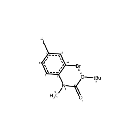 CN(C(=O)OC(C)(C)C)c1ccc(I)cc1Br